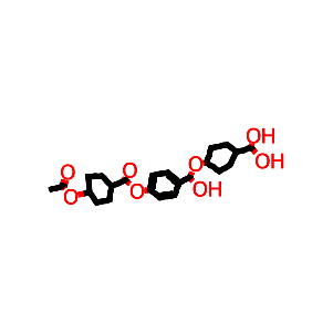 CC(=O)OC1CCC(C(=O)Oc2ccc(C(O)OC3CCC(C(O)O)CC3)cc2)CC1